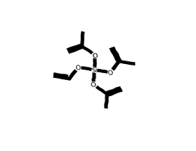 C=CO[Si](OC(=C)C)(OC(=C)C)OC(=C)C